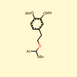 CCCCC(OCCc1ccc(OC)c(OC)c1)C(C)=O